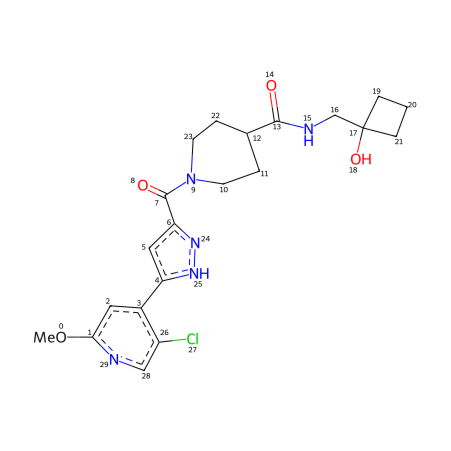 COc1cc(-c2cc(C(=O)N3CCC(C(=O)NCC4(O)CCC4)CC3)n[nH]2)c(Cl)cn1